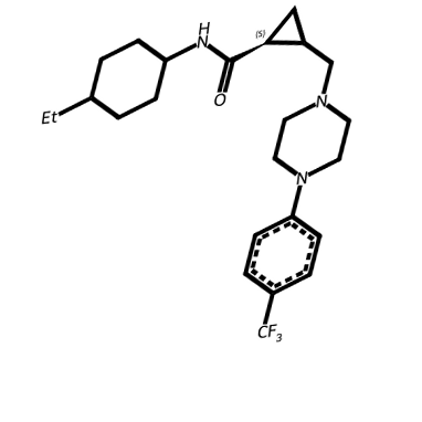 CCC1CCC(NC(=O)[C@H]2CC2CN2CCN(c3ccc(C(F)(F)F)cc3)CC2)CC1